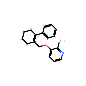 O=Cc1ncccc1OCC1=C(c2ccccc2)CCCC1